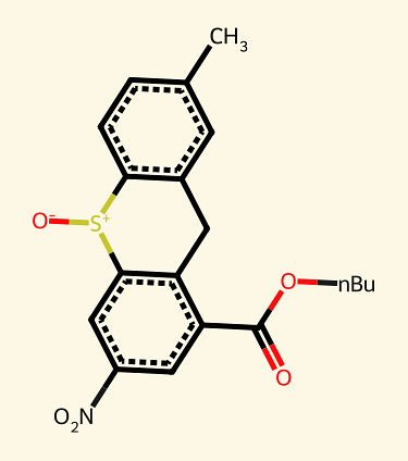 CCCCOC(=O)c1cc([N+](=O)[O-])cc2c1Cc1cc(C)ccc1[S+]2[O-]